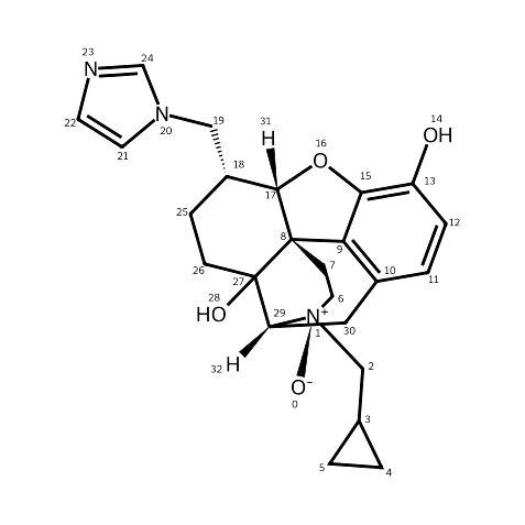 [O-][N@+]1(CC2CC2)CC[C@]23c4c5ccc(O)c4O[C@H]2[C@@H](Cn2ccnc2)CCC3(O)[C@H]1C5